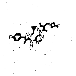 Cc1nn(-c2cc(Nc3c(C)c(-c4ccc(F)cc4)nn3CC3CC3)ncn2)c(C)c1CN1CC(F)C1